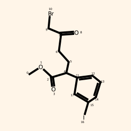 COC(=O)C(CCC(=O)CBr)c1cccc(I)c1